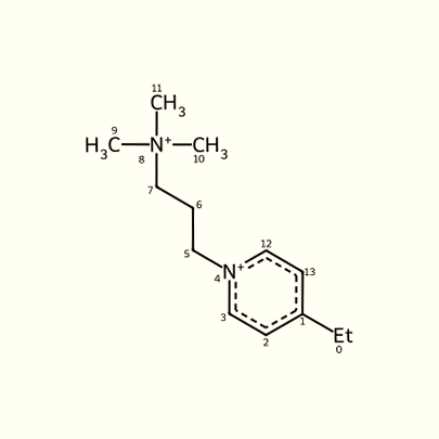 CCc1cc[n+](CCC[N+](C)(C)C)cc1